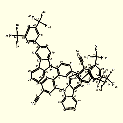 N#Cc1ccc(-c2cc(-c3ccc(C(F)(F)F)cc3C#N)ccc2-n2c3ccccc3c3cc(-c4cc(C(F)(F)F)cc(C(F)(F)F)c4)ccc32)c(-n2c3ccccc3c3cc(-c4cc(C(F)(F)F)cc(C(F)(F)F)c4)ccc32)c1